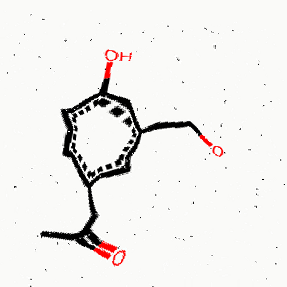 CC(=O)c1ccc(O)c(C[O])c1